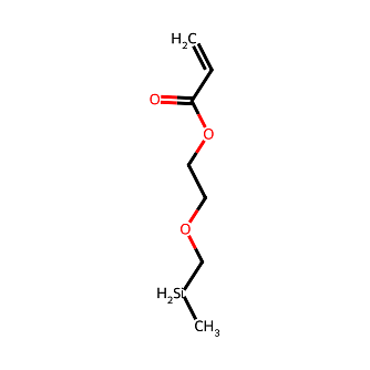 C=CC(=O)OCCOC[SiH2]C